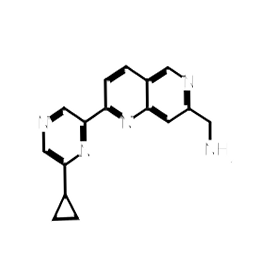 NCc1cc2nc(-c3cncc(C4CC4)n3)ccc2cn1